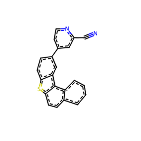 N#Cc1cc(-c2ccc3sc4ccc5ccccc5c4c3c2)ccn1